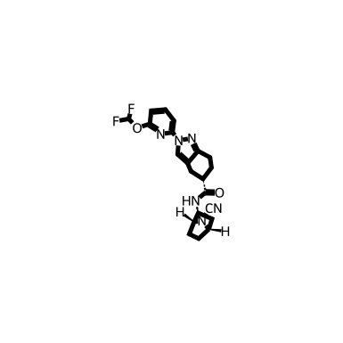 N#CN1[C@H]2CC[C@@H]1[C@H](NC(=O)[C@H]1CCc3nn(-c4cccc(OC(F)F)n4)cc3C1)C2